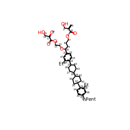 C=C(CO)C(=O)OCCCC(OCCOC(=O)C(=O)CO)c1ccc(C2CCC(C3CCC(c4ccc(CCCCC)cc4CC)CC3)CC2)c(CC)c1